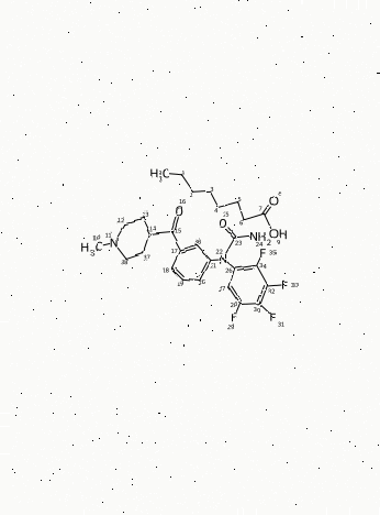 CCCCCCCC(=O)O.CN1CCC(C(=O)c2cccc(N(C(N)=O)c3cc(F)c(F)c(F)c3F)c2)CC1